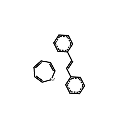 C(=Cc1ccccc1)c1ccccc1.C1=CC=CNC=C1